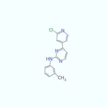 Cc1cccc(Nc2nccc(-c3ccnc(Cl)c3)n2)c1